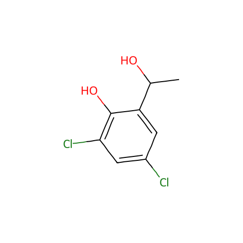 CC(O)c1cc(Cl)cc(Cl)c1O